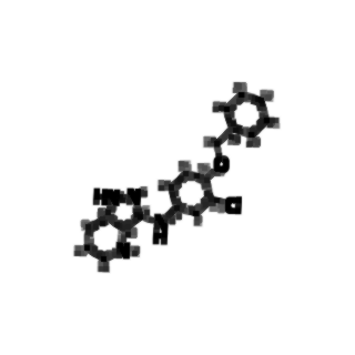 Clc1cc(Nc2n[nH]c3cccnc23)ccc1OCc1ccccc1